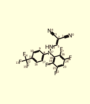 N#CC(C#N)=CNN(c1ccc(C(F)(F)F)cc1)c1c(F)c(F)cc(F)c1F